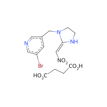 O=C(O)CCC(=O)O.O=[N+]([O-])C=C1NCCN1Cc1cncc(Br)c1